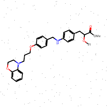 CCOC(Cc1ccc(NCc2ccc(OCCCN3CCOc4ccccc43)cc2)cc1)C(=O)OC